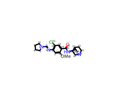 COc1cc(/N=C/N2CCCC2)c(Cl)cc1C(=O)NC1CN2CCC1CC2